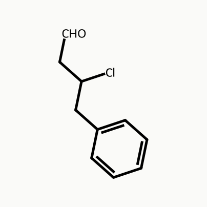 O=CCC(Cl)Cc1ccccc1